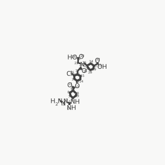 N=C(N=NN)Nc1ccc(C(=O)Oc2ccc(CC(=O)N(CC(=O)O)Cc3cccc(C(=O)O)c3)c(Cl)c2)cc1